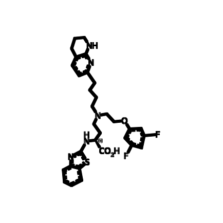 O=C(O)[C@H](CCN(CCCCc1ccc2c(n1)NCCC2)CCOc1cc(F)cc(F)c1)Nc1nc2ccccc2s1